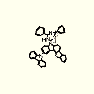 NC(NC(NCc1ccccc1)n1c2ccc(-n3c4ccccc4c4ccccc43)cc2c2c3sc4ccccc4c3ccc21)c1ccccc1